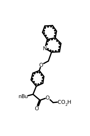 CCCCC(C(=O)OCC(=O)O)c1ccc(OCc2ccc3ccccc3n2)cc1